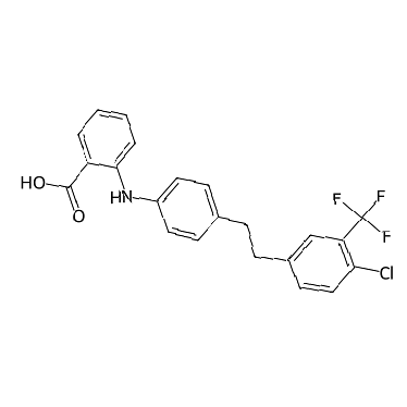 O=C(O)c1ccccc1Nc1ccc(CCc2ccc(Cl)c(C(F)(F)F)c2)cc1